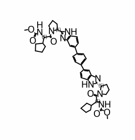 COC(=O)N[C@H](C(=O)N1CCC[C@H]1c1nc2cc(-c3ccc(-c4ccc5[nH]c([C@@H]6CCCN6C(=O)[C@@H](NC(=O)OC)C6CCCC6)nc5c4)cc3)ccc2[nH]1)C1CCCC1